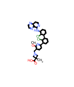 COc1nc(-c2cccc(-c3cccc(Nc4nccc5nccnc45)c3Cl)c2Cl)ccc1CN1CC(C)(C(=O)O)C1